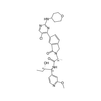 CC[C@H](O)[C@@H](NC(=O)[C@@H](C)N1Cc2ccc(-c3nc(NC4CCOCC4)ncc3Cl)cc2C1=O)c1ccnc(OC)c1